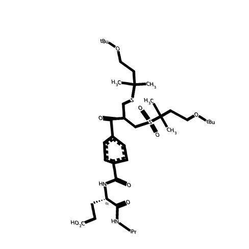 CC(C)NC(=O)[C@H](CCC(=O)O)NC(=O)c1ccc(C(=O)C(CSC(C)(C)CCOC(C)(C)C)CS(=O)(=O)C(C)(C)CCOC(C)(C)C)cc1